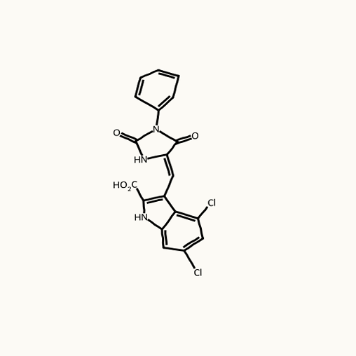 O=C(O)c1[nH]c2cc(Cl)cc(Cl)c2c1/C=C1\NC(=O)N(c2ccccc2)C1=O